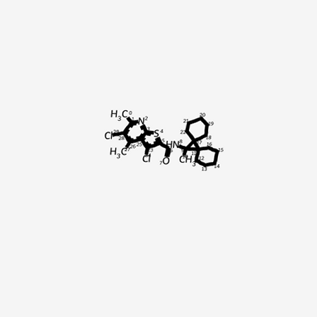 Cc1nc2sc(C(=O)NC3(C)C4(CCCCC4)C34CCCCC4)c(Cl)c2c(C)c1Cl